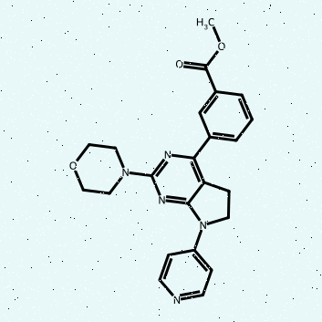 COC(=O)c1cccc(-c2nc(N3CCOCC3)nc3c2CCN3c2ccncc2)c1